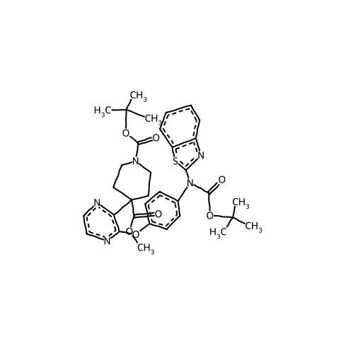 COC(=O)C1(c2nccnc2Oc2ccc(N(C(=O)OC(C)(C)C)c3nc4ccccc4s3)cc2)CCN(C(=O)OC(C)(C)C)CC1